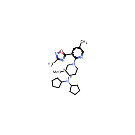 CO[C@H]1CN(c2ncc(C)cc2-c2nc(C)no2)CC[C@H]1N(C1CCCC1)C1CCCC1